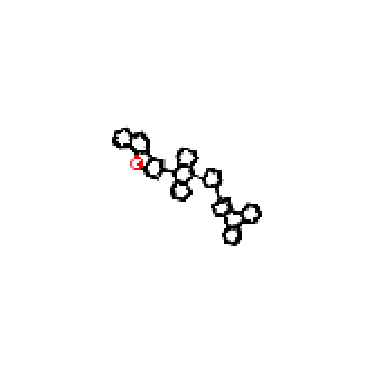 c1cc(-c2ccc3c4ccccc4c4ccccc4c3c2)cc(-c2c3ccccc3c(-c3ccc4oc5c6ccccc6ccc5c4c3)c3ccccc23)c1